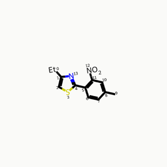 CCc1csc(-c2ccc(C)cc2[N+](=O)[O-])n1